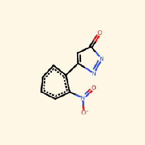 O=C1C=C(c2ccccc2[N+](=O)[O-])N=N1